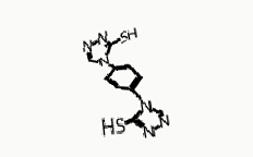 Sc1nncn1-c1ccc(-n2cnnc2S)cc1